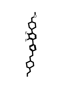 CCCC1CCC(CCc2ccc(-c3ccc(C4CCC(COC)CC4)c(F)c3F)cc2)CC1